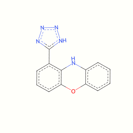 c1ccc2c(c1)Nc1c(cccc1-c1nnn[nH]1)O2